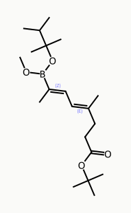 COB(OC(C)(C)C(C)C)/C(C)=C/C=C(\C)CCC(=O)OC(C)(C)C